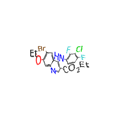 CCOC(=O)c1cnc2cc(OCC)c(Br)cc2c1Nc1ccc(F)c(Cl)c1F